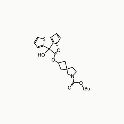 CC(C)(C)OC(=O)N1CCC2(CC(OC(=O)C(O)(c3cccs3)c3cccs3)C2)C1